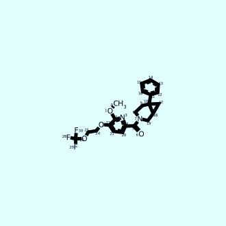 COc1nc(C(=O)N2CCC3(c4ccccc4)CC3C2)ccc1OCCOC(F)(F)F